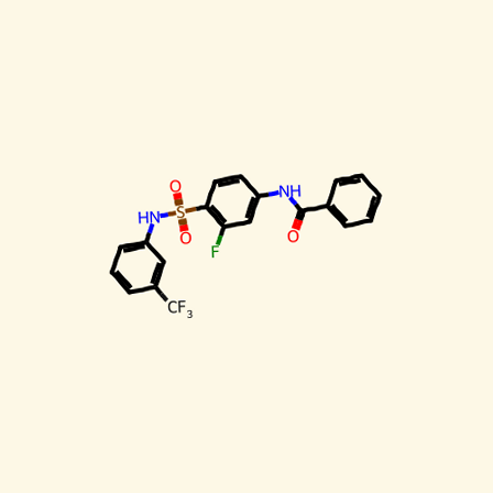 O=C(Nc1ccc(S(=O)(=O)Nc2cccc(C(F)(F)F)c2)c(F)c1)c1ccccc1